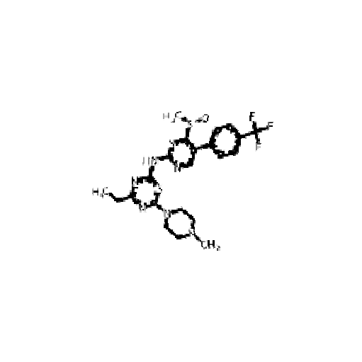 CCc1nc(Nc2ncc(-c3ccc(C(F)(F)F)cc3)c([S+](C)[O-])n2)nc(N2CCN(C)CC2)n1